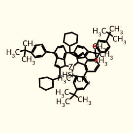 C[SiH](C)[Zr]([CH]1C(CC2CCCCC2)=Cc2c(-c3ccc(C(C)(C)C)cc3)ccc(-c3ccc(C(C)(C)C)cc3)c21)[CH]1C(CC2CCCCC2)=Cc2c(-c3ccc(C(C)(C)C)cc3)ccc(-c3ccc(C(C)(C)C)cc3)c21